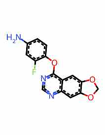 Nc1ccc(Oc2ncnc3cc4c(cc23)OCO4)c(F)c1